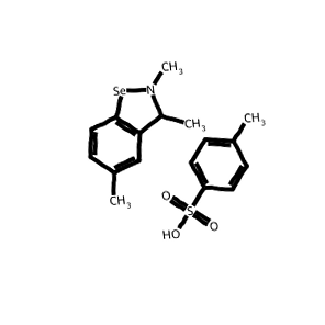 Cc1ccc(S(=O)(=O)O)cc1.Cc1ccc2c(c1)C(C)N(C)[Se]2